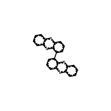 [c]1ccc2nc3ccccc3nc2c1-c1cccc2nc3ccccc3nc12